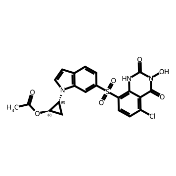 CC(=O)O[C@@H]1C[C@H]1n1ccc2ccc(S(=O)(=O)c3ccc(Cl)c4c(=O)n(O)c(=O)[nH]c34)cc21